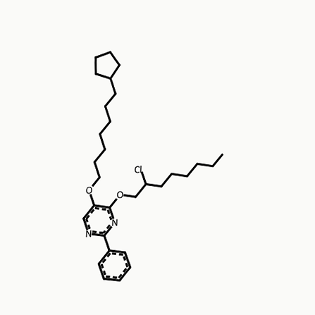 CCCCCCC(Cl)COc1nc(-c2ccccc2)ncc1OCCCCCCCC1CCCC1